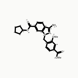 COC(=O)c1ccc(Cn2nc(N)c3ccc(C(=O)OC4CCCC4)cc32)c(OC)c1